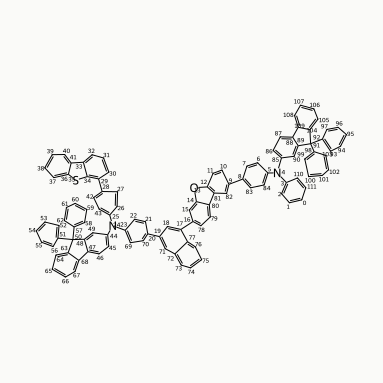 c1ccc(N(c2ccc(-c3ccc4oc5cc(-c6cc(-c7ccc(N(c8ccc(-c9cccc%10c9sc9ccccc9%10)cc8)c8ccc9c(c8)C(c8ccccc8)(c8ccccc8)c8ccccc8-9)cc7)cc7ccccc67)ccc5c4c3)cc2)c2ccc3c(c2)C(c2ccccc2)(c2ccccc2)c2ccccc2-3)cc1